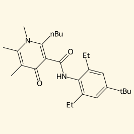 CCCCc1c(C(=O)Nc2c(CC)cc(C(C)(C)C)cc2CC)c(=O)c(C)c(C)n1C